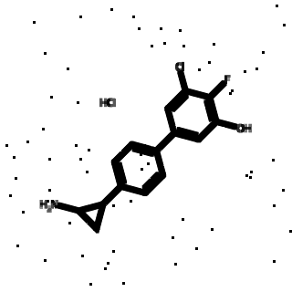 Cl.NC1CC1c1ccc(-c2cc(O)c(F)c(Cl)c2)cc1